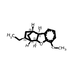 CC[C@H]1C[C@H]2C[C@@H]1[C@@H]1Oc3c(OC)cccc3[C@H]21